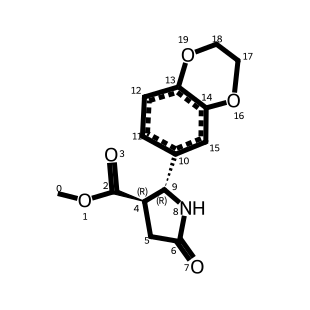 COC(=O)[C@@H]1CC(=O)N[C@H]1c1ccc2c(c1)OCCO2